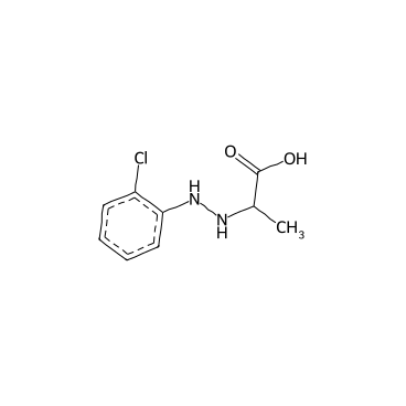 CC(NNc1ccccc1Cl)C(=O)O